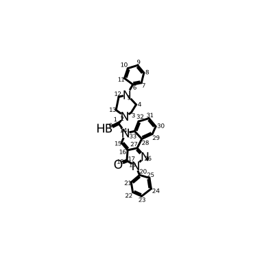 B=C(N1CCN(c2ccccc2)CC1)n1cc2c(=O)n(-c3ccccc3)nc-2c2ccccc21